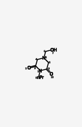 CCCN1C(=O)CN(CO)CC1=O